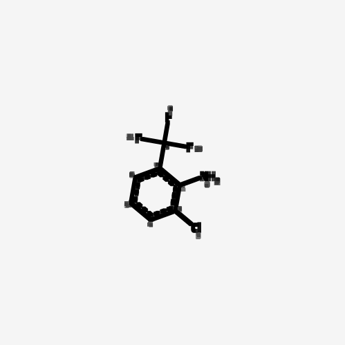 Nc1c(Cl)c[c]cc1C(F)(F)F